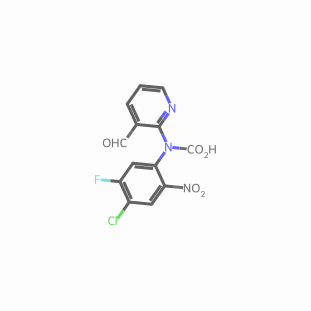 O=Cc1cccnc1N(C(=O)O)c1cc(F)c(Cl)cc1[N+](=O)[O-]